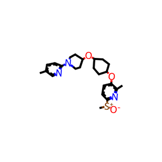 Cc1ccc(N2CCC(OC3CCC(Oc4ccc([S+](C)[O-])nc4C)CC3)CC2)nc1